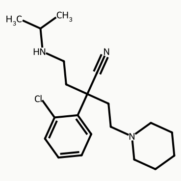 CC(C)NCCC(C#N)(CCN1CCCCC1)c1ccccc1Cl